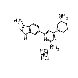 Cl.Cl.Cl.Nc1nc(-c2ccc3c(N)n[nH]c3c2)cc(N2CCCC(N)C2)n1